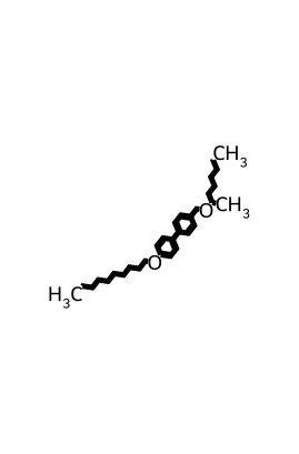 CCCCCCCCCCOc1ccc(-c2ccc(COC(C)CCCCCC)cc2)cc1